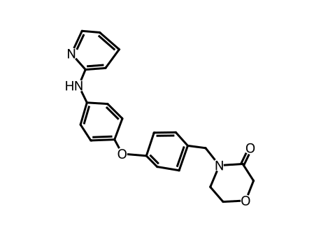 O=C1COCCN1Cc1ccc(Oc2ccc(Nc3ccccn3)cc2)cc1